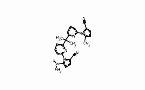 Cc1ccc(C#N)n1-c1cccc(C(C)(C)c2cccc(-n3c(C#N)ccc3P(P)I)n2)n1